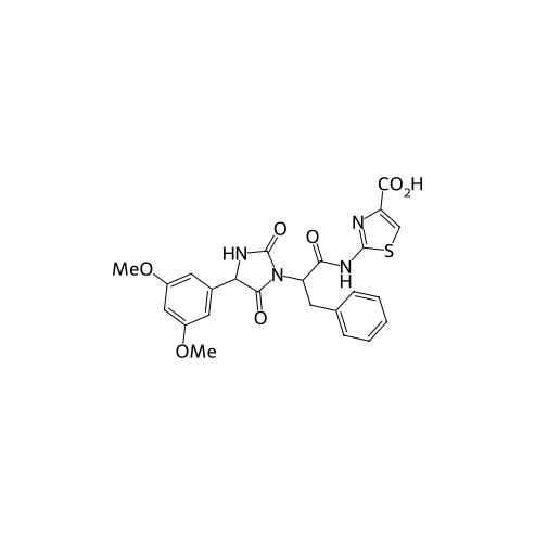 COc1cc(OC)cc(C2NC(=O)N(C(Cc3ccccc3)C(=O)Nc3nc(C(=O)O)cs3)C2=O)c1